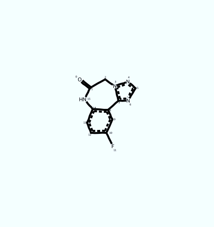 O=C1Cn2ncnc2-c2cc(F)ccc2N1